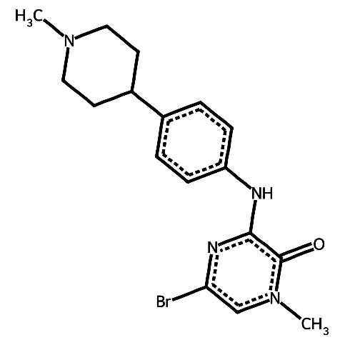 CN1CCC(c2ccc(Nc3nc(Br)cn(C)c3=O)cc2)CC1